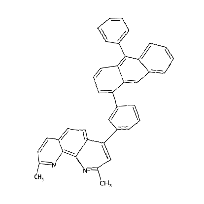 Cc1ccc2ccc3c(-c4cccc(-c5cccc6c(-c7ccccc7)c7ccccc7cc56)c4)cc(C)nc3c2n1